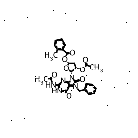 CC(=O)Nc1nc2c(c(=O)[nH]1)n(Cc1ccccc1)c(=O)n2[C@@H]1O[C@@H](OC(=O)c2ccccc2C)C[C@H]1OC(C)=O